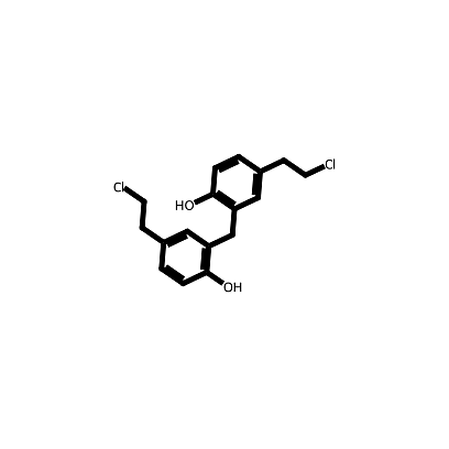 Oc1ccc(CCCl)cc1Cc1cc(CCCl)ccc1O